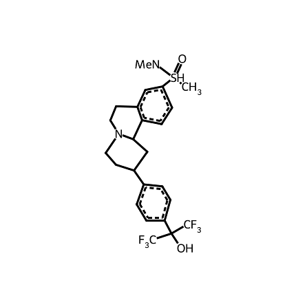 CN[SH](C)(=O)c1ccc2c(c1)CCN1CCC(c3ccc(C(O)(C(F)(F)F)C(F)(F)F)cc3)CC21